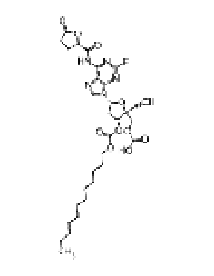 C#C[C@]1(COC(=O)O)O[C@@H](n2cnc3c(NC(=O)[C@H]4CCC(=O)O4)nc(F)nc32)C[C@@H]1OC(=O)OCCCCCCCCCCCC